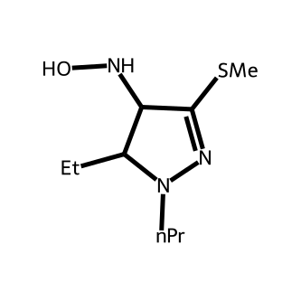 CCCN1N=C(SC)C(NO)C1CC